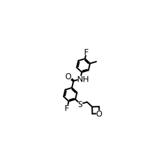 Cc1cc(NC(=O)c2ccc(F)c(SCC3COC3)c2)ccc1F